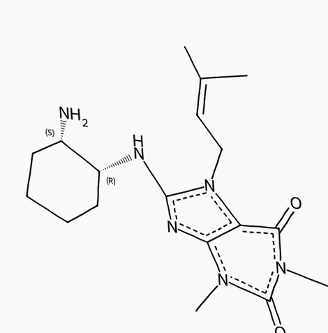 CC(C)=CCn1c(N[C@@H]2CCCC[C@@H]2N)nc2c1c(=O)n(C)c(=O)n2C